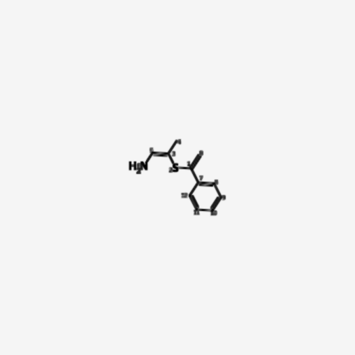 C=C(S/C(C)=C\N)c1ccccc1